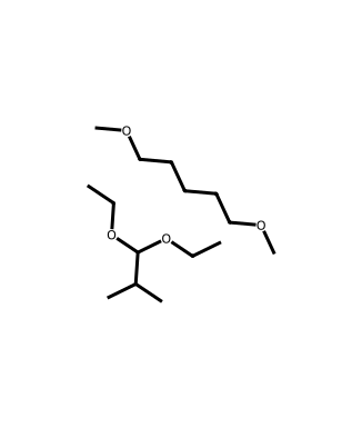 CCOC(OCC)C(C)C.COCCCCCOC